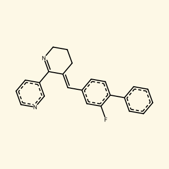 Fc1cc(/C=C2\CCCN=C2c2cccnc2)ccc1-c1ccccc1